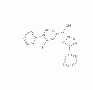 OC(c1ccc(-c2ccccc2)c(F)c1)c1cnc(-c2cnccn2)[nH]1